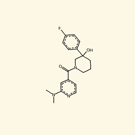 CN(C)c1cc(C(=O)N2CCCC(O)(c3ccc(F)cc3)C2)ccn1